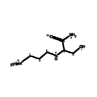 CCCCCCCCCNC(CO)C(N)=O